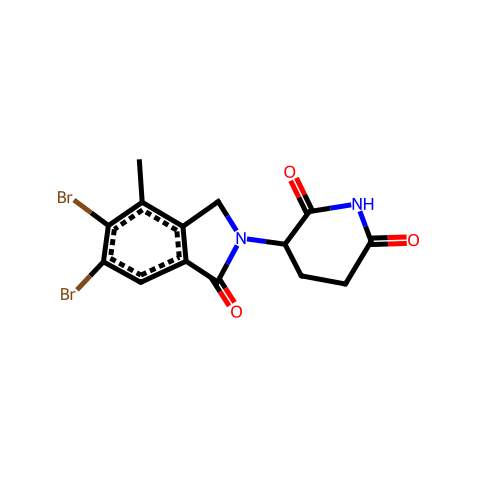 Cc1c(Br)c(Br)cc2c1CN(C1CCC(=O)NC1=O)C2=O